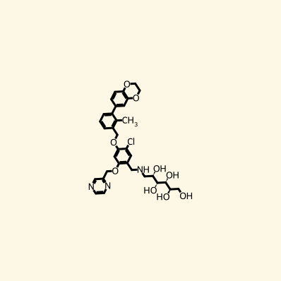 Cc1c(COc2cc(OCc3cnccn3)c(CNC[C@H](O)[C@@H](O)[C@H](O)[C@H](O)CO)cc2Cl)cccc1-c1ccc2c(c1)OCCO2